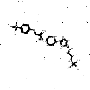 O=C(COc1ccc(C(F)(F)F)cc1)N[C@H]1CC[C@H](c2nnc(OCCOC(F)(F)F)o2)OC1